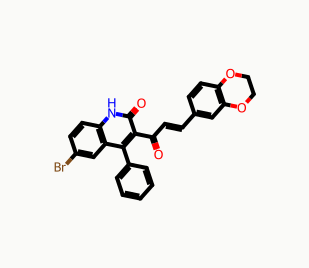 O=C(C=Cc1ccc2c(c1)OCCO2)c1c(-c2ccccc2)c2cc(Br)ccc2[nH]c1=O